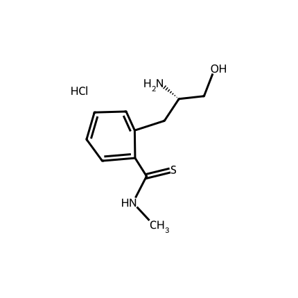 CNC(=S)c1ccccc1C[C@H](N)CO.Cl